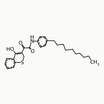 CCCCCCCCCCc1ccc(NC(=O)C(=O)C2=C(O)c3ccccc3SC2)cc1